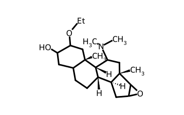 CCOC1C[C@@]2(C)C(CC[C@@H]3[C@H]2C(N(C)C)C[C@]2(C)C4OC4C[C@@H]32)CC1O